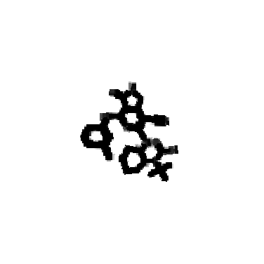 Cc1cccc(Nc2nc(N[C@@H]3CCCC[C@@H]3N(C(=O)O)C(C)(C)C)c(C#N)c3c2C(=O)NC3)c1